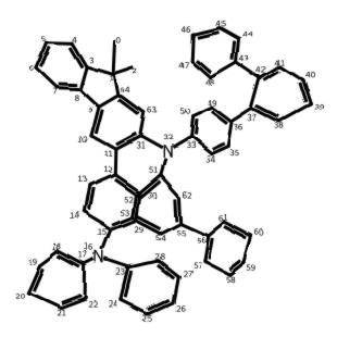 CC1(C)c2ccccc2-c2cc(-c3ccc(N(c4ccccc4)c4ccccc4)cc3)c(N(c3ccc(-c4ccccc4-c4ccccc4)cc3)c3cccc(-c4ccccc4)c3)cc21